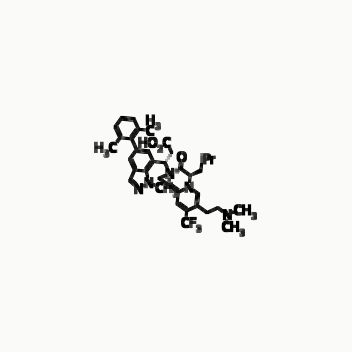 Cc1cccc(C)c1-c1cc([C@H](CC(=O)O)[N+]23CC2=C2C=C(C(F)(F)F)C(CCN(C)C)=CN2[C@H](CC(C)C)C3=O)c2c(cnn2C)c1